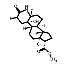 COC(=O)[C@H]1CC[C@H]2[C@@H]3CC[C@H]4NC(=O)C(I)C[C@]4(C)[C@H]3CC[C@]12C